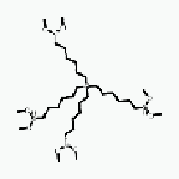 CO[SiH](CCCCCC[Si](CCCCCC[SiH](OC)OC)(CCCCCC[SiH](OC)OC)CCCCCC[SiH](OC)OC)OC